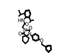 CC(C)c1cccc(C(C)C)c1NC(=O)CN1C(=O)N(c2ccc(OCc3ccccc3)cc2)C2(CCCCC2)C1=O